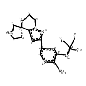 Nc1ncc(-c2cc3n(n2)CCO[C@@]32CCNC2)cc1OC(F)(F)F